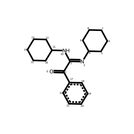 O=C(C(=NC1CCCCC1)NC1CCCCC1)c1ccccc1